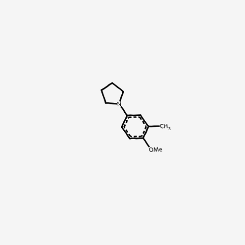 COc1ccc(N2CCCC2)cc1C